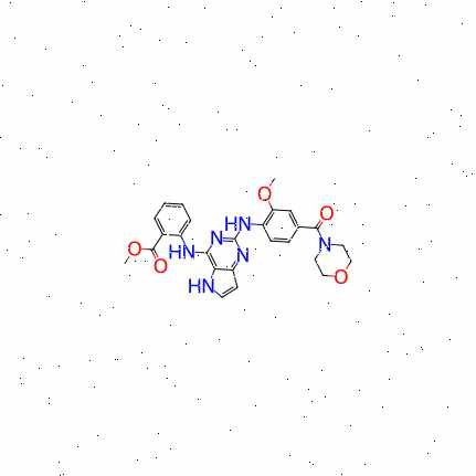 COC(=O)c1ccccc1Nc1nc(Nc2ccc(C(=O)N3CCOCC3)cc2OC)nc2cc[nH]c12